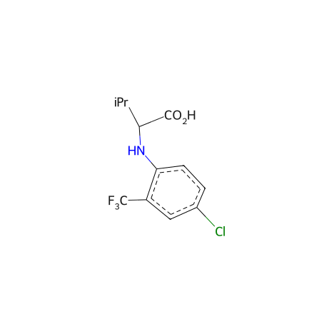 CC(C)C(Nc1ccc(Cl)cc1C(F)(F)F)C(=O)O